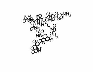 CC[C@@]1(O)C(=O)OCc2c1cc1n(c2=O)Cc2c-1nc1cc(F)c(C)c3c1c2[C@@H](NC(=O)COCNC(=O)[C@H](CCCNC(N)=O)NC(=O)[C@@H](NC(=O)[C@H](CCC(=O)NC[C@H]1O[C@@H](CC(N)=O)[C@H](O)[C@@H]1O)NC(=O)CCCCCN1C(=O)C=CC1=O)C(C)C)CC3